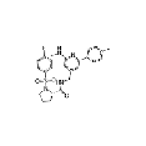 CNc1cc(CNC(=O)[C@@H]2C=CCN2S(=O)(=O)c2ccc(F)cc2)cc(-c2ccc(C)cc2)n1